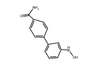 NC(=O)c1ccc(-c2cccc(BO)c2)cc1